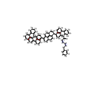 C=C(/C=C\C=C/Cc1ccccc1)N(c1ccc(-c2ccc3ccc4c(-c5ccc(N(c6ccccc6-c6ccccc6)c6ccccc6-c6ccccc6)cc5)ccc5ccc2c3c54)cc1)c1ccccc1-c1ccccc1